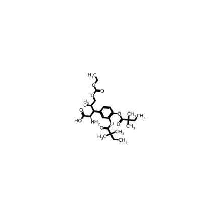 CCOC(=O)OCC(C)C(c1ccc(OC(=O)C(C)(C)CC)c(OC(=O)C(C)(C)CC)c1)[C@H](N)C(=O)O